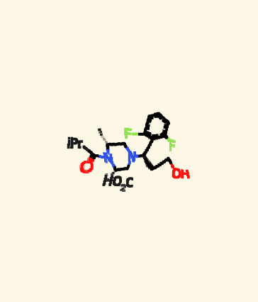 CC(C)C(=O)N1[C@H](C)CN([C@H](CCO)c2c(F)cccc2F)C[C@@H]1C(=O)O